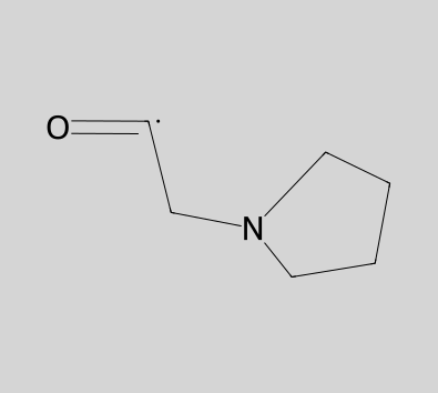 O=[C]CN1CCCC1